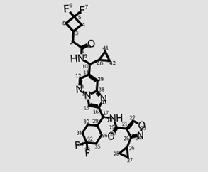 O=C(CC1CC(F)(F)C1)NC(c1cnn2cc([C@@H](NC(=O)c3conc3C3CC3)C3CCC(F)(F)CC3)nc2c1)C1CC1